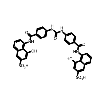 O=C(Nc1ccc(C(=O)Nc2cccc3cc(S(=O)(=O)O)cc(O)c23)cc1)Nc1ccc(C(=O)Nc2cccc3cc(S(=O)(=O)O)cc(O)c23)cc1